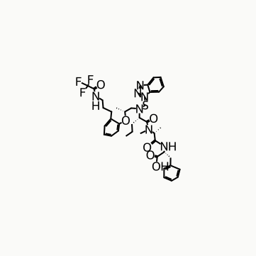 CCC[C@@H](C(=O)N(C)[C@H](C)C(=O)N[C@H](Cc1ccccc1)C(=O)O)N(C[C@@H](C)Oc1ccccc1CCCNC(=O)C(F)(F)F)Sn1nnc2ccccc21